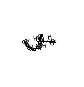 CC(C)(C)OC(=O)NCCCCCNc1cc(Nc2ncc(C3CCC(OC(=O)Oc4ccc([N+](=O)[O-])cc4)C3)cn2)ccc1S(=O)(=O)NC(=O)OC(C)(C)C